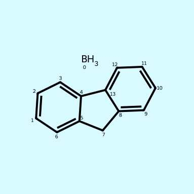 B.c1ccc2c(c1)Cc1ccccc1-2